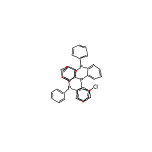 Clc1ccccc1P(c1ccccc1P(c1ccccc1)c1ccccc1)c1ccccc1P(c1ccccc1)c1ccccc1